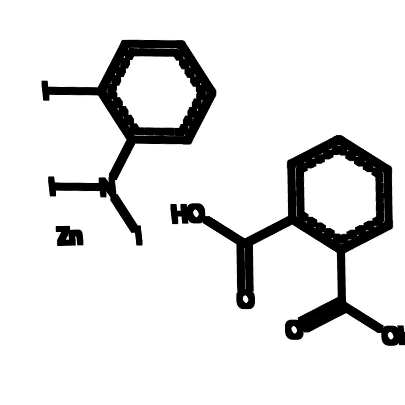 Ic1ccccc1N(I)I.O=C(O)c1ccccc1C(=O)O.[Zn]